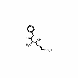 CC(C(=O)Cc1ccccc1)C(O)C/C=C/C(=O)O